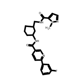 Cn1nccc1C(=O)NCC1CCCC(NC(=O)c2ccc(-c3cccc(F)c3)nc2)C1